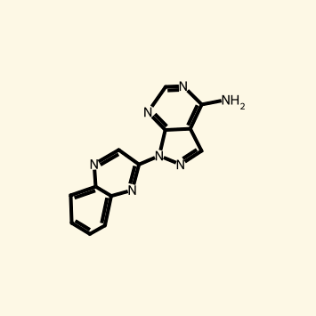 Nc1ncnc2c1cnn2-c1cnc2ccccc2n1